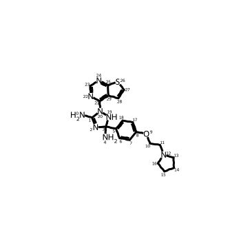 NC1=NC(N)(c2ccc(OCCN3CCCC3)cc2)NN1c1ncnc2sccc12